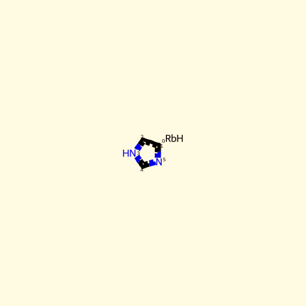 [RbH].c1c[nH]cn1